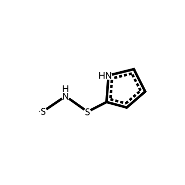 [S]NSc1ccc[nH]1